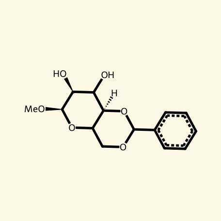 CO[C@@H]1OC2COC(c3ccccc3)O[C@@H]2C(O)[C@@H]1O